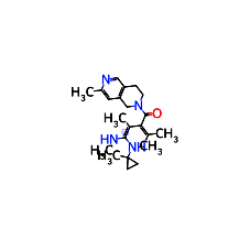 CN/C(NC1(C)CC1)=C(\C)C(C(=O)N1CCc2cnc(C)cc2C1)=C(C)C